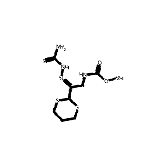 CC(C)(C)OC(=O)NCC(=NNC(N)=S)C1SCCCS1